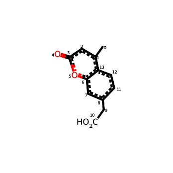 Cc1cc(=O)oc2cc(CC(=O)O)ccc12